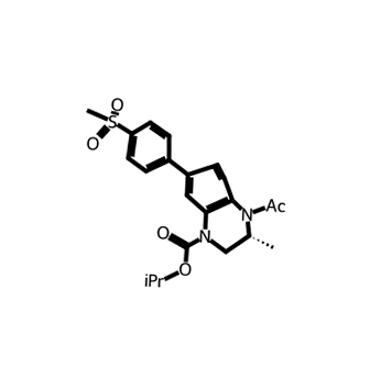 CC(=O)N1c2ccc(-c3ccc(S(C)(=O)=O)cc3)cc2N(C(=O)OC(C)C)C[C@H]1C